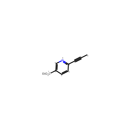 CC#Cc1ccc(C(=O)OCC)cn1